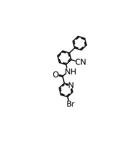 N#Cc1c(NC(=O)c2ccc(Br)cn2)cccc1-c1ccccc1